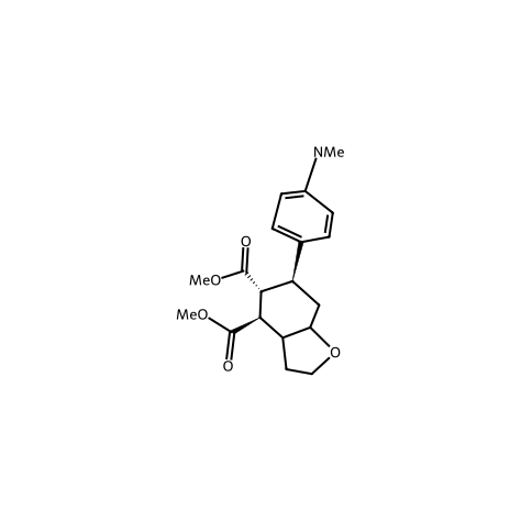 CNc1ccc([C@H]2CC3OCCC3[C@@H](C(=O)OC)[C@@H]2C(=O)OC)cc1